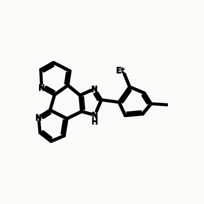 CCc1cc(C)ccc1-c1nc2c3cccnc3c3ncccc3c2[nH]1